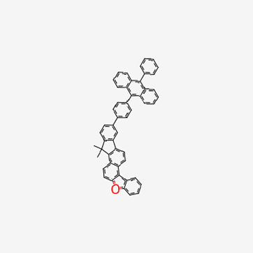 CC1(C)c2ccc(-c3ccc(-c4c5ccccc5c(-c5ccccc5)c5ccccc45)cc3)cc2-c2ccc3c(ccc4oc5ccccc5c43)c21